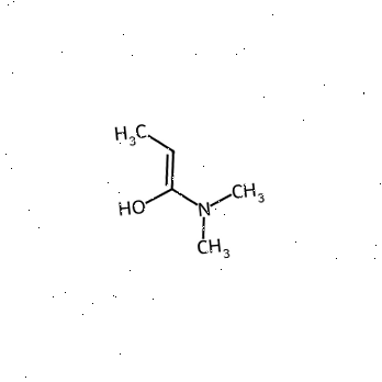 CC=C(O)N(C)C